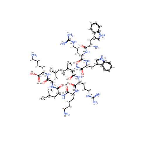 CC(C)C[C@H](NC(=O)[C@H](CC(C)C)NC(=O)[C@H](CCCCN)NC(=O)[C@H](CCCNC(=N)N)NC(=O)[C@@H](NC(=O)[C@H](Cc1c[nH]c2ccccc12)NC(=O)[C@H](CCCNC(=N)N)NC(=O)[C@@H](N)Cc1c[nH]c2ccccc12)C(C)C)C(=O)N[C@@H](CCCCN)C(=O)O